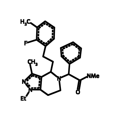 CCn1nc(C)c2c1CCN(C(C(=O)NC)c1ccccc1)C2CCc1cccc(C)c1F